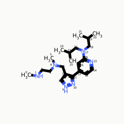 CNCCN(C)Cc1c[nH]nc1-c1ccnc(N(CC(C)C)CC(C)C)c1